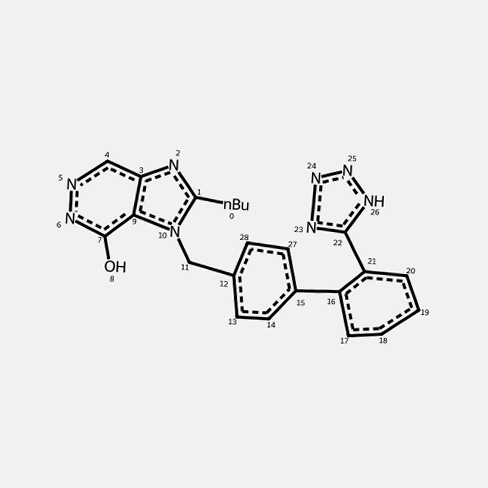 CCCCc1nc2cnnc(O)c2n1Cc1ccc(-c2ccccc2-c2nnn[nH]2)cc1